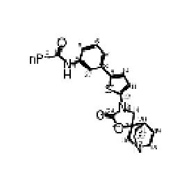 CCCC(=O)Nc1cccc(-c2ccc(N3C[C@@]4(CN5CCC4CC5)OC3=O)s2)c1